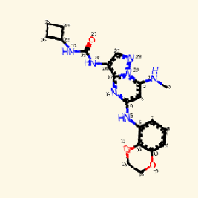 CNc1cc(Nc2cccc3c2OCCO3)nc2c(NC(=O)NC3CCC3)cnn12